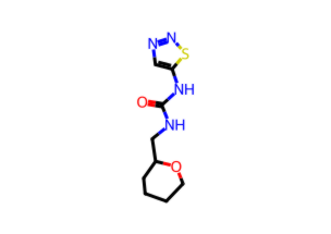 O=C(NCC1CCCCO1)Nc1cnns1